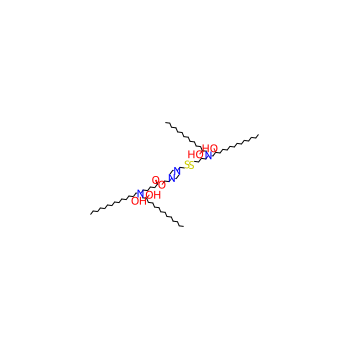 CCCCCCCCCCCCC(O)CN(CCCCSSCCN1CCN(CCOC(=O)CCCCN(CC(O)CCCCCCCCCCCC)CC(O)CCCCCCCCCCCC)CC1)CC(O)CCCCCCCCCCCC